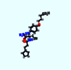 CC(C)CC(NC(=O)CCC1CCCC1)(Nc1ccc(OCCCC(=O)O)cc1)C(N)=O